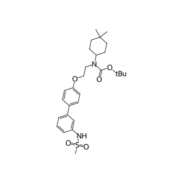 CC1(C)CCC(N(CCOc2ccc(-c3cccc(NS(C)(=O)=O)c3)cc2)C(=O)OC(C)(C)C)CC1